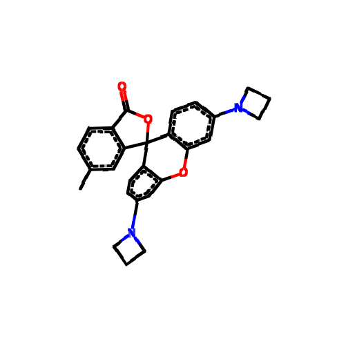 Cc1ccc2c(c1)C1(OC2=O)c2ccc(N3CCC3)cc2Oc2cc(N3CCC3)ccc21